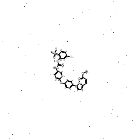 CCOc1ccc2ncc(-c3ccc(Oc4ncc(NC(=O)Nc5cc(Cl)ccc5S(C)(=O)=O)cn4)cc3)n2n1